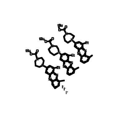 CCc1cc(N2CCCN(C(=O)OC(C)(C)C)CC2)cc2[s+]c3cccc(C)c3nc12.CCc1cc(N2CCCN(C(=O)OC(C)(C)C)CC2)cc2[s+]c3cccc(C)c3nc12.CCc1cc(N2CCCN(C(=O)OC(C)(C)C)CC2)cc2[s+]c3cccc(C)c3nc12.[I-].[I-].[I-]